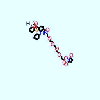 COC(=O)c1ccc(C(=O)NCCOCCOCCOCCOCCC(=O)ON2C(=O)CCC2=O)cc1P(c1ccccc1)c1ccccc1